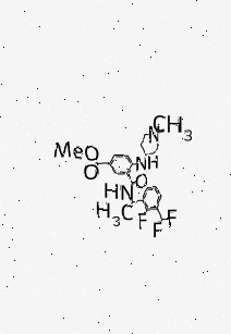 COC(=O)c1ccc(NC2CCN(C)CC2)c(C(=O)N[C@H](C)c2cccc(C(F)F)c2F)c1